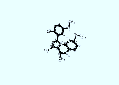 COc1ccc(Cl)c(-c2nc(C)c3c(C)nc4ccc(OC)nc4n23)c1